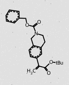 C=C(C(=O)OC(C)(C)C)c1ccc2c(c1)CCN(C(=O)OCc1ccccc1)C2